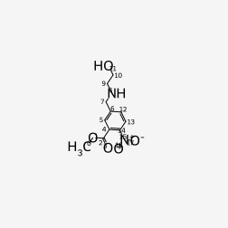 COC(=O)c1cc(CNCCO)ccc1[N+](=O)[O-]